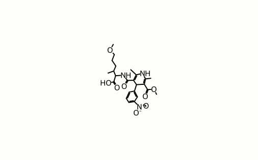 COCCCC(C)C(NC(=O)C1=C(C)NC(C)=C(C(=O)OC)C1c1cccc([N+](=O)[O-])c1)C(=O)O